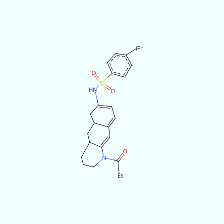 CCC(=O)N1CCCC2CC3CC(NS(=O)(=O)c4ccc(C(C)C)cc4)=CC=C3C=C21